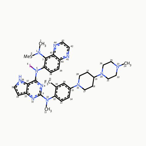 CSN(C)c1c(N(I)c2nc(N(C)c3ccc(N4CCC(N5CCN(C)CC5)CC4)cc3C(F)(F)F)nc3cc[nH]c23)ccc2nccnc12